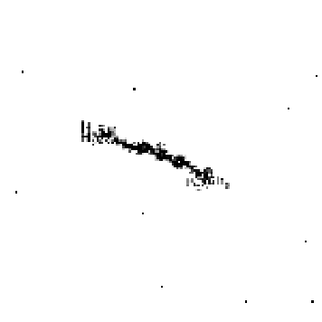 C=C(C)C(=O)OCCCCCCc1ccc(CCc2ccc(CCc3ccc(CCCCCOC(=O)C(=C)C)cc3)cc2C)cc1